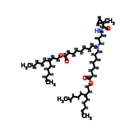 CCCCCC(CCCCC)CCOC(=O)CCCCCCCN(CCCCCCCC(=O)OCCC(CCCCC)CCCCC)CCCNC(=O)C1(C)CC1